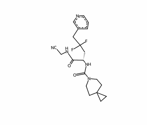 N#CCNC(=O)[C@H](CC(F)(F)Cc1cccnc1)NC(=O)N1CCC2(CC1)CC2